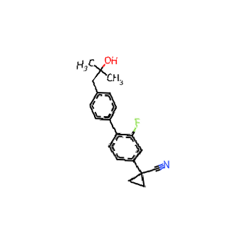 CC(C)(O)Cc1ccc(-c2ccc(C3(C#N)CC3)cc2F)cc1